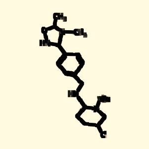 CCCCN1CC(Cl)CCC1NCc1ccc(C2NOC(C)N2C)cc1